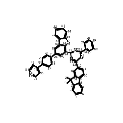 CC1(C)c2ccccc2-c2ccc(-c3nc(-c4ccccc4)nc(-c4cc(-c5ccc(-c6ccncc6)cc5)cc5c4sc4ccccc45)n3)cc21